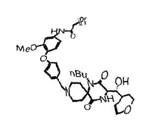 CCCCN1C(=O)[C@@H]([C@H](O)C2CCOCC2)NC(=O)C12CCN(Cc1ccc(Oc3ccc(NC(=O)CC(C)C)cc3OC)cc1)CC2